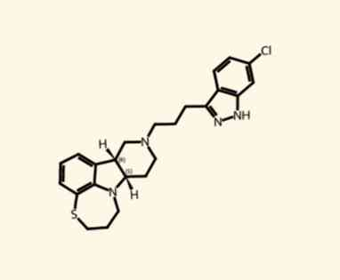 Clc1ccc2c(CCCN3CC[C@H]4[C@@H](C3)c3cccc5c3N4CCCS5)n[nH]c2c1